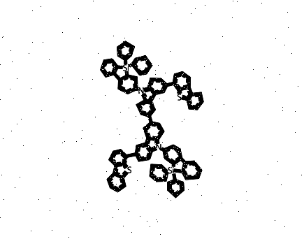 c1ccc([Si]2(c3ccccc3)c3ccccc3-c3ccc(-n4c5ccc(-c6ccc7c(c6)c6cc(-c8cccc9c8sc8ccccc89)ccc6n7-c6ccc7c(c6)[Si](c6ccccc6)(c6ccccc6)c6ccccc6-7)cc5c5cc(-c6cccc7c6sc6ccccc67)ccc54)cc32)cc1